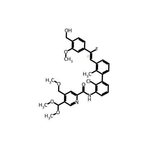 COCc1cc(C(=O)Nc2cccc(-c3cccc(/C=C(\F)c4ccc(CO)c(OC)c4)c3C)c2Cl)ncc1C(OC)OC